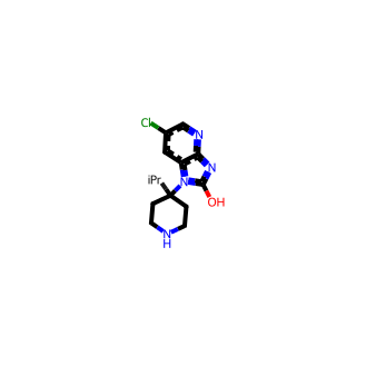 CC(C)C1(n2c(O)nc3ncc(Cl)cc32)CCNCC1